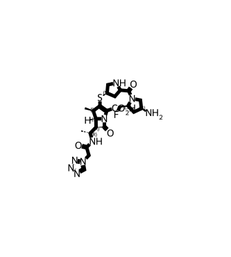 C[C@@H](NC(=O)Cn1cnnn1)[C@H]1C(=O)N2C(C(=O)O)=C(S[C@@H]3CNC(C(=O)N4C[C@@H](N)C[C@H]4CF)C3)[C@H](C)[C@H]12